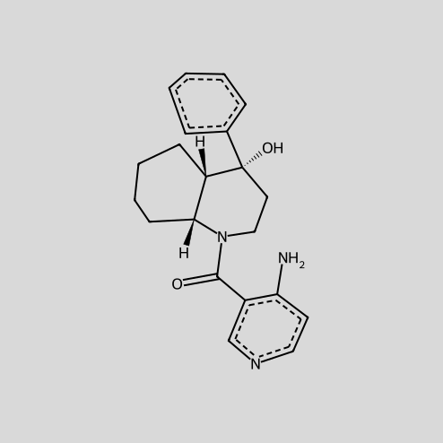 Nc1ccncc1C(=O)N1CC[C@](O)(c2ccccc2)[C@H]2CCCC[C@H]21